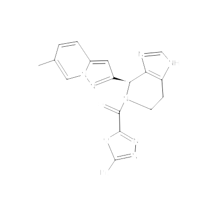 Cc1ccc2cc([C@H]3c4nc[nH]c4CCN3C(=O)c3nnc(C(C)(C)C)o3)nn2c1